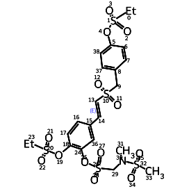 CCS(=O)(=O)Oc1ccc(CS(=O)(=O)/C=C/c2ccc(OS(=O)(=O)CC)c(OS(=O)(=O)CN(C)S(C)(=O)=O)c2)cc1